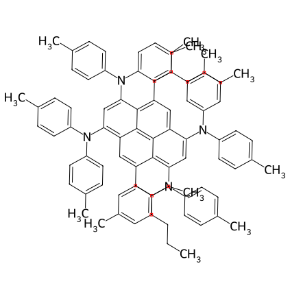 CCCCC(CC)Cc1cc2c(N(c3ccc(C)cc3)c3ccc(C)cc3)cc(N(c3ccc(C)cc3)c3ccc(C)cc3)c3c(CC(CC)CCCC)cc4c(N(c5ccc(C)cc5)c5ccc(C)cc5)cc(N(c5ccc(C)cc5)c5ccc(C)cc5)c1c4c23